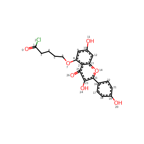 O=C(Cl)CCCCOc1cc(O)cc2oc(-c3ccc(O)cc3)c(O)c(=O)c12